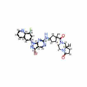 C[C@@]1(C(=O)N2CCN3C(=O)CC[C@H]3C2)CC[C@@H](Nc2ncc3c(Br)nn(-c4cc(F)c5ncccc5c4)c3n2)C1